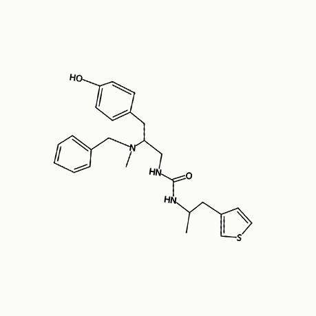 CC(Cc1ccsc1)NC(=O)NCC(Cc1ccc(O)cc1)N(C)Cc1ccccc1